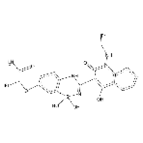 CCC(Oc1ccc2c(c1)S(O)(O)N=C(c1c(O)c3ccccc3n(NCC(C)C)c1=O)N2)C(N)=O